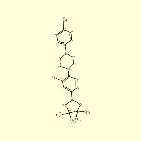 CC1(C)OB(c2ccc(N3CCN(c4ccc(C#N)cc4)CC3)c(F)c2)OC1(C)C